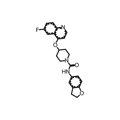 O=C(Nc1ccc2c(c1)CCO2)N1CCC(Oc2ccnc3ccc(F)cc23)CC1